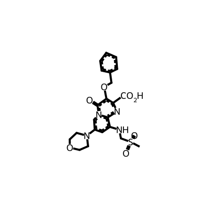 CS(=O)(=O)CNc1cc(N2CCOCC2)cn2c(=O)c(OCc3ccccc3)c(C(=O)O)nc12